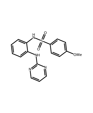 COc1ccc(S(=O)(=O)Nc2ccccc2Nc2ncccn2)cc1